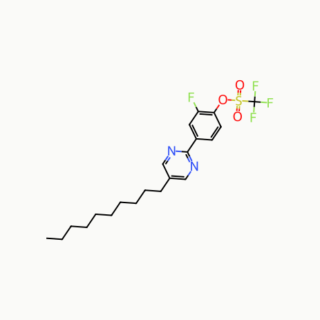 CCCCCCCCCCc1cnc(-c2ccc(OS(=O)(=O)C(F)(F)F)c(F)c2)nc1